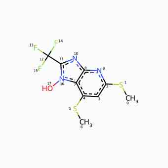 CSc1cc(SC)c2c(n1)nc(C(F)(F)F)n2O